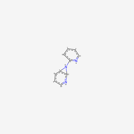 [c]1cccnc1N1c2cccnc21